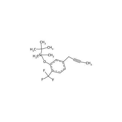 CC#CCc1ccc(C(F)(F)F)c(O[Si](C)(C)C(C)(C)C)c1